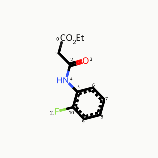 CCOC(=O)CC(=O)Nc1ccccc1F